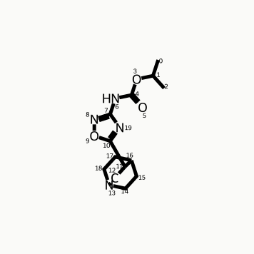 CC(C)OC(=O)Nc1noc(C2CN3CCC2CC3)n1